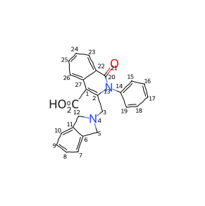 O=C(O)c1c(CN2Cc3ccccc3C2)n(-c2ccccc2)c(=O)c2ccccc12